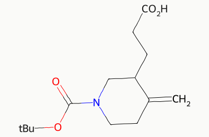 C=C1CCN(C(=O)OC(C)(C)C)CC1CCC(=O)O